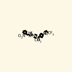 CC1CN(c2nc(Cc3ccccc3[N+](=O)[O-])ns2)CCN1C(=O)c1ccc(-n2ccc(C(F)(F)F)n2)cc1